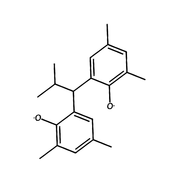 Cc1cc(C)c([O])c(C(c2cc(C)cc(C)c2[O])C(C)C)c1